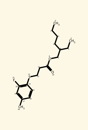 CCCCC(CC)COC(=O)CCSc1ccc(C)cc1F